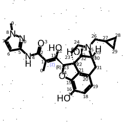 C/C(C(=O)Nc1ccn(C)n1)=C(/O)[C@@H]1Oc2c(O)ccc3c2[C@@]12CCN(CC1CC1)[C@H](C3)[C@@]2(C)O